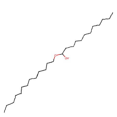 CCCCCCCCCCCCCOC(O)CCCCCCCCCCC